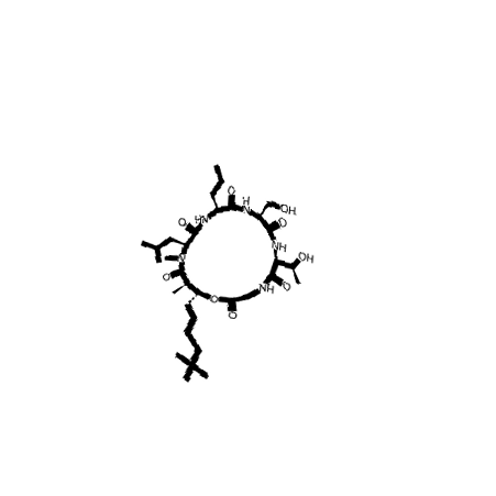 CCC[C@@H]1NC(=O)[C@H](CC(C)C)N(C)C(=O)[C@H](C)[C@@H](CCCCC(C)(C)C)OC(=O)CNC(=O)[C@H]([C@H](C)O)NC(=O)[C@H](CO)NC1=O